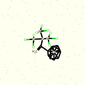 C=C([C]12[CH]3[CH]4[CH]5[CH]1[Fe]45321678[CH]2[CH]1[CH]6[CH]7[CH]28)[Si]([Si](Cl)(Cl)Cl)([Si](Cl)(Cl)Cl)[Si](Cl)(Cl)Cl